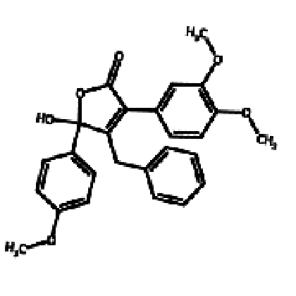 COc1ccc(C2(O)OC(=O)C(c3ccc(OC)c(OC)c3)=C2Cc2ccccc2)cc1